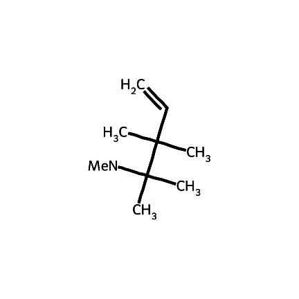 C=CC(C)(C)C(C)(C)NC